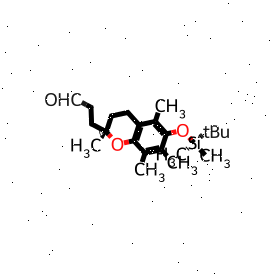 Cc1c(C)c2c(c(C)c1O[Si](C)(C)C(C)(C)C)CC[C@@](C)(CCC=O)O2